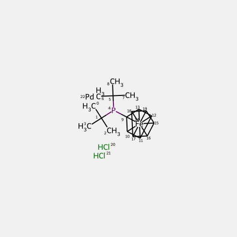 CC(C)(C)P(C(C)(C)C)[C]12[CH]3[CH]4[CH]5[CH]1[Fe]45321678[CH]2[CH]1[CH]6[CH]7[CH]28.Cl.Cl.[Pd]